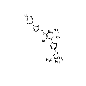 CC(C)(O)COc1ccc(-c2c(C#N)c(N)nc(SCc3coc(-c4ccc(Cl)cc4)n3)c2C#N)cc1